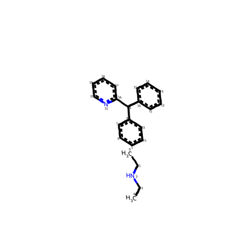 CCNCC.c1ccc(C(c2ccccc2)c2ccccn2)cc1